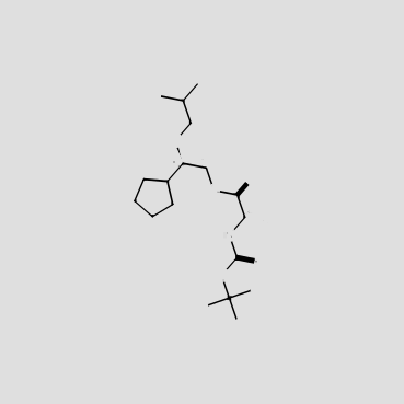 CC(C)CO[C@H](C1CCCC1)[C@H](C)OC(=O)[C@H](C)NC(=O)OC(C)(C)C